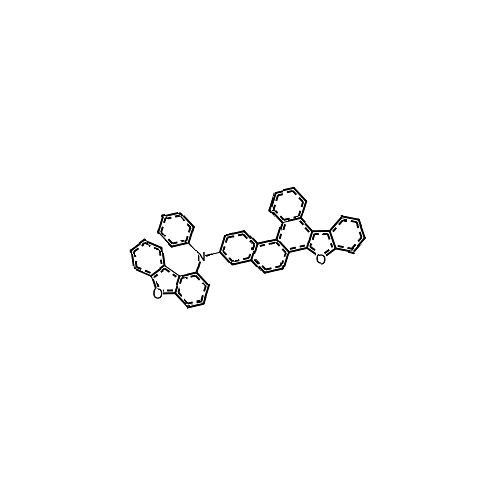 c1ccc(N(c2ccc3c(ccc4c5oc6ccccc6c5c5ccccc5c34)c2)c2cccc3oc4ccccc4c23)cc1